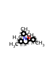 Cc1cc(C)c(N2c3ccc(C)cc3CCc3c2oc2ccc(C)cc32)c(C)c1